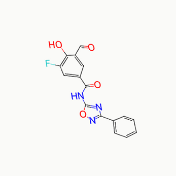 O=Cc1cc(C(=O)Nc2nc(-c3ccccc3)no2)cc(F)c1O